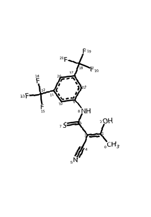 CC(O)=C(C#N)C(=S)Nc1cc(C(F)(F)F)cc(C(F)(F)F)c1